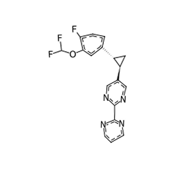 Fc1ccc([C@@H]2C[C@H]2c2cnc(-c3ncccn3)nc2)cc1OC(F)F